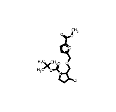 COC(=O)c1ccc(COCC2C(Cl)CCN2C(=O)OC(C)(C)C)o1